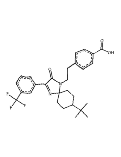 CC(C)(C)C1CCC2(CC1)N=C(c1cccc(C(F)(F)F)c1)C(=O)N2CCc1ccc(C(=O)O)cc1